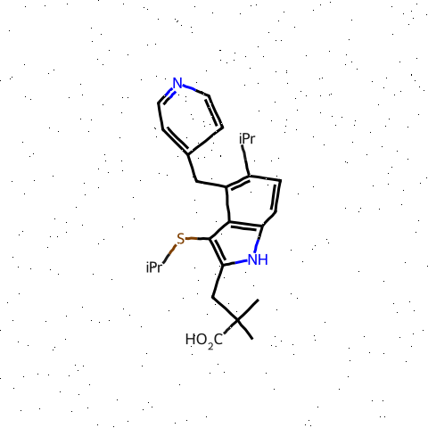 CC(C)Sc1c(CC(C)(C)C(=O)O)[nH]c2ccc(C(C)C)c(Cc3ccncc3)c12